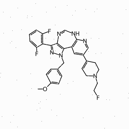 COc1ccc(Cn2nc(-c3c(F)cccc3F)c3c2-c2cc(C4=CCN(CCF)CC4)cnc2NC=N3)cc1